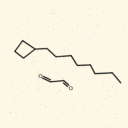 CCCCCCCCC1CCC1.O=CC=O